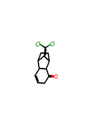 O=C1CC=CC2C3CCC(C3=C(Cl)Cl)C12